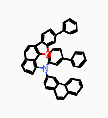 c1ccc(-c2cccc(N(c3ccc4ccc5ccccc5c4c3)c3cccc4ccc5c6ccc(-c7ccccc7)cc6oc5c34)c2)cc1